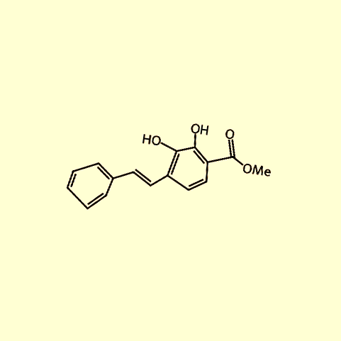 COC(=O)c1ccc(C=Cc2ccccc2)c(O)c1O